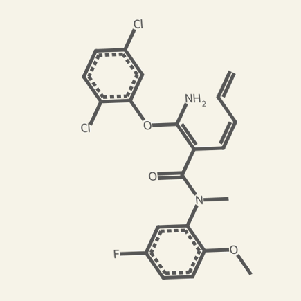 C=C/C=C\C(C(=O)N(C)c1cc(F)ccc1OC)=C(/N)Oc1cc(Cl)ccc1Cl